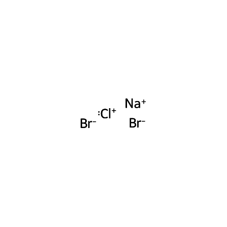 [Br-].[Br-].[Cl+].[Na+]